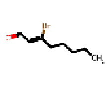 CCCCC/C(Br)=C/C=O